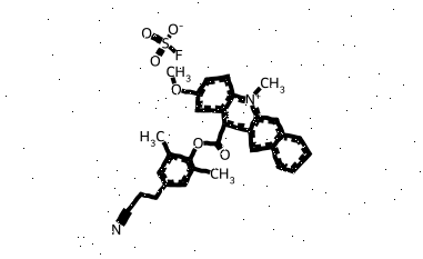 COc1ccc2c(c1)c(C(=O)Oc1c(C)cc(CCC#N)cc1C)c1cc3ccccc3cc1[n+]2C.O=S(=O)([O-])F